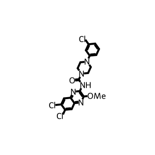 COc1nc2cc(Cl)c(Cl)cc2nc1NC(=O)N1CCN(c2cccc(Cl)c2)CC1